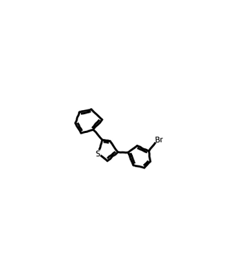 Brc1cccc(-c2csc(-c3ccccc3)c2)c1